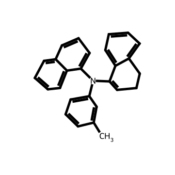 Cc1cccc(N(C2=CCCc3ccccc32)c2cccc3ccccc23)c1